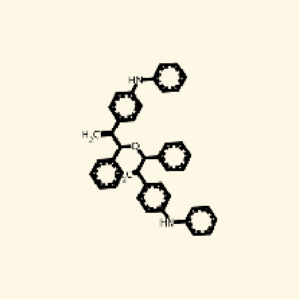 C=C(c1ccc(Nc2ccccc2)cc1)C(OC(C(=C)c1ccc(Nc2ccccc2)cc1)c1ccccc1)c1ccccc1